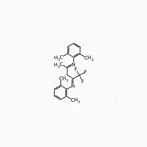 CC(CC(=Nc1c(C)cccc1C)C(F)(F)F)=Nc1c(C)cccc1C